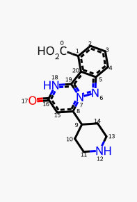 O=C(O)c1cccc2nn3c(C4CCNCC4)cc(=O)[nH]c3c12